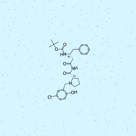 CC(C)(C)OC(=O)N[C@@H](CC(=O)NC(=O)[C@@H]1CCCN1Cc1cc(Cl)ccc1O)Cc1ccccc1